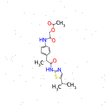 CC(=O)OCC(=O)Nc1ccc([C@@H](C)C(=O)Nc2ncc(C(C)C)s2)cc1